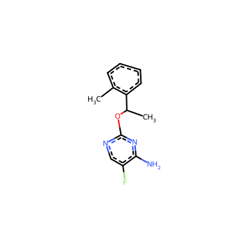 Cc1ccccc1C(C)Oc1ncc(F)c(N)n1